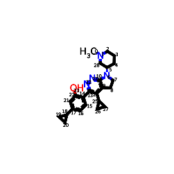 CN1CCC[C@@H](N2CCc3c2nnc(-c2ccc(C4CC4)cc2O)c3C2CC2)C1